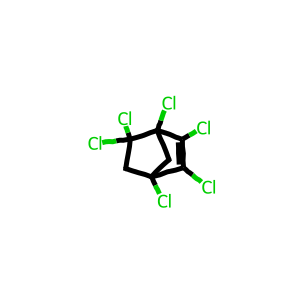 ClC1=C(Cl)C2(Cl)CC1(Cl)CC2(Cl)Cl